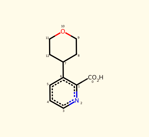 O=C(O)c1ncccc1C1CCOCC1